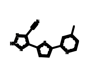 Cc1ccnc(-c2ccc(-c3n[nH]nc3C#N)s2)c1